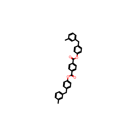 Cc1cccc(Cc2ccc(OC(=O)c3ccc(C(=O)Oc4ccc(Cc5cccc(C)c5)cc4)cc3)cc2)c1